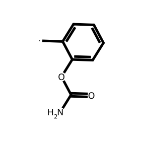 [CH2]c1ccccc1OC(N)=O